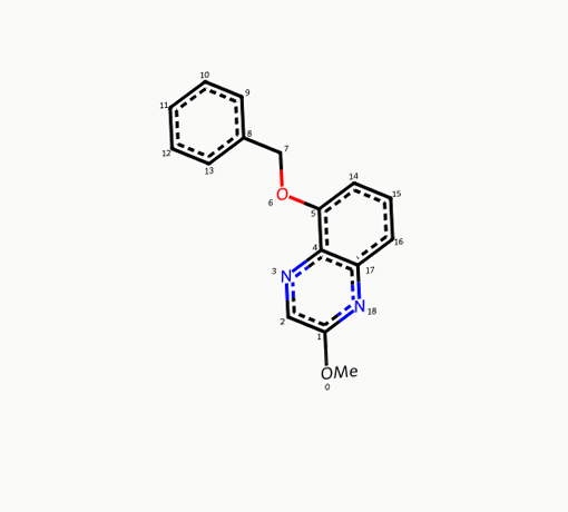 COc1cnc2c(OCc3ccccc3)cccc2n1